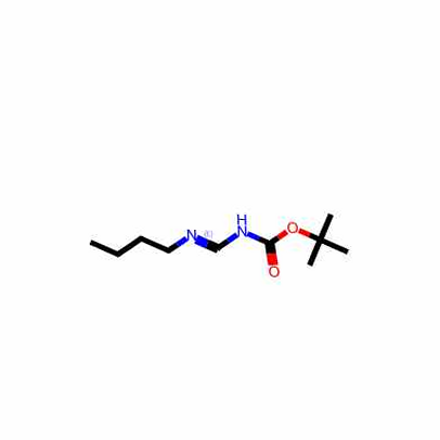 CCCC/N=[C]/NC(=O)OC(C)(C)C